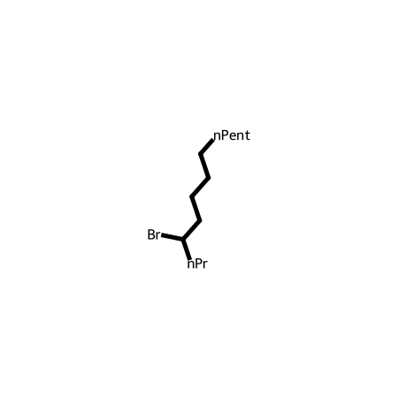 [CH2]CCC(Br)CCCCCCCCC